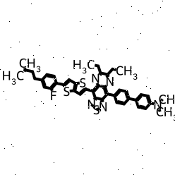 CCc1nc2c(-c3ccc(-c4ccc(N(C)C)cc4)cc3)c3nsnc3c(-c3cc4sc(-c5ccc(CCC(C)C)cc5F)cc4s3)c2nc1CC